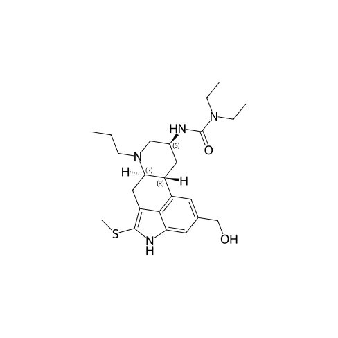 CCCN1C[C@@H](NC(=O)N(CC)CC)C[C@@H]2c3cc(CO)cc4[nH]c(SC)c(c34)C[C@H]21